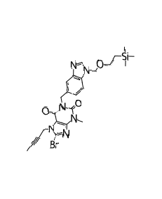 CC#CCn1c(Br)nc2c1c(=O)n(Cc1ccc3c(c1)ncn3COCC[Si](C)(C)C)c(=O)n2C